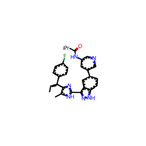 C/C=C(/c1ccc(F)cc1)c1nc(-c2n[nH]c3ccc(-c4cncc(NC(=O)C(C)C)c4)cc23)[nH]c1C